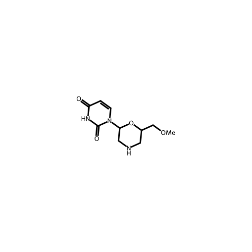 COCC1CNCC(n2ccc(=O)[nH]c2=O)O1